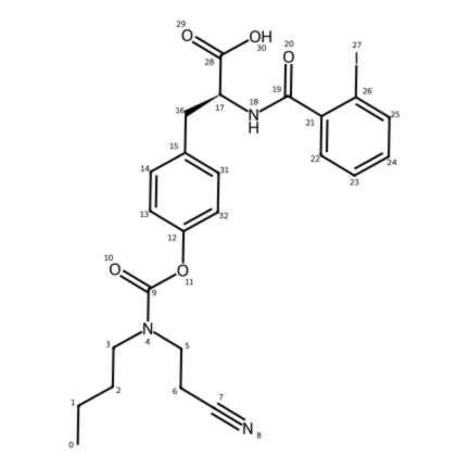 CCCCN(CCC#N)C(=O)Oc1ccc(C[C@H](NC(=O)c2ccccc2I)C(=O)O)cc1